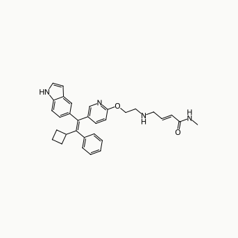 CNC(=O)/C=C/CNCCOc1ccc(/C(=C(\c2ccccc2)C2CCC2)c2ccc3[nH]ccc3c2)cn1